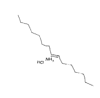 CCCCCCC=CCCCCCCC.Cl.N